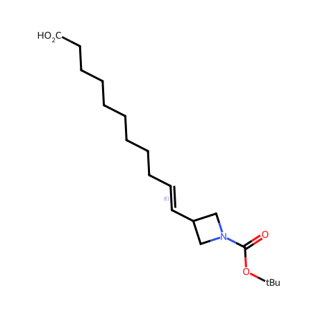 CC(C)(C)OC(=O)N1CC(/C=C/CCCCCCCCC(=O)O)C1